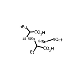 CCCCC(CC)C(=O)O.CCCCC(CC)C(=O)O.CCCCCCC[CH2][SnH]